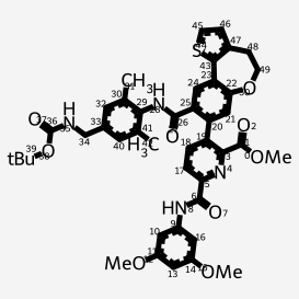 COC(=O)c1nc(C(=O)Nc2cc(OC)cc(OC)c2)ccc1-c1cc2c(cc1C(=O)Nc1c(C)cc(CNC(=O)OC(C)(C)C)cc1C)-c1sccc1CCO2